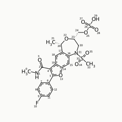 CNC(=O)c1c(-c2ccc(F)cc2)oc2cc3c(cc12)[C@H](C)O[C@H](COS(=O)(=O)O)CN3S(C)(=O)=O